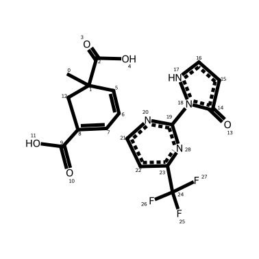 CC1(C(=O)O)C=CC=C(C(=O)O)C1.O=c1cc[nH]n1-c1nccc(C(F)(F)F)n1